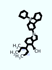 C#Cc1c(C(/C=C\C)=C(\C)C=C)ccc2c1ccn2-c1ccc2c(c1)c1ccccc1n2-c1ccccc1